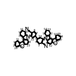 N#Cc1ccc(-c2ccc(C#N)c(-n3c4ccccc4c4c5c(ccc43)oc3ccccc35)c2)cc1-n1c2c(c3c4c(ccc31)oc1ccccc14)CCC=C2